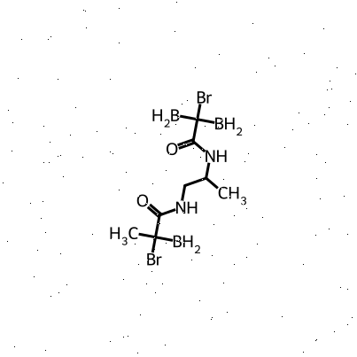 BC(B)(Br)C(=O)NC(C)CNC(=O)C(B)(C)Br